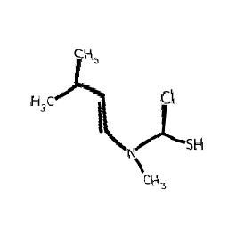 CC(C)/C=C/N(C)C(S)Cl